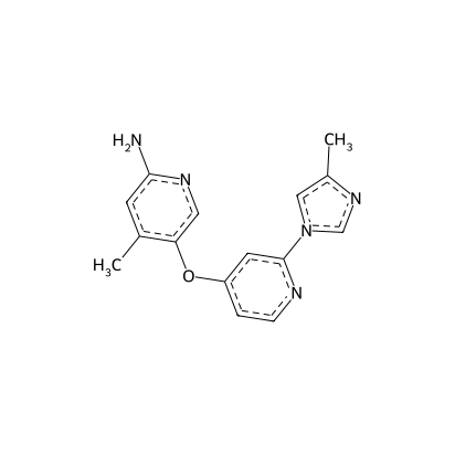 Cc1cn(-c2cc(Oc3cnc(N)cc3C)ccn2)cn1